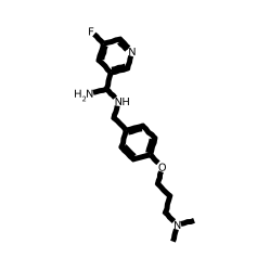 CN(C)CCCOc1ccc(CNC(N)c2cncc(F)c2)cc1